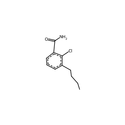 CCCCc1cccc(C(N)=O)c1Cl